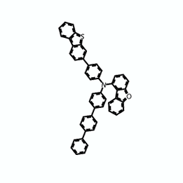 c1ccc(-c2ccc(-c3ccc(N(c4ccc(-c5ccc6c(c5)sc5ccccc56)cc4)c4cccc5oc6ccccc6c45)cc3)cc2)cc1